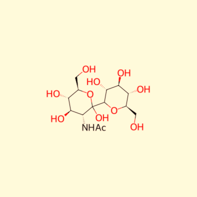 CC(=O)N[C@@H]1[C@@H](O)[C@H](O)[C@@H](CO)OC1(O)C1O[C@H](CO)[C@@H](O)[C@H](O)[C@H]1O